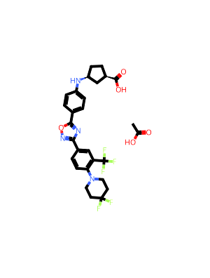 CC(=O)O.O=C(O)[C@@H]1CC[C@H](Nc2ccc(-c3nc(-c4ccc(N5CCC(F)(F)CC5)c(C(F)(F)F)c4)no3)cc2)C1